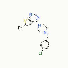 CCc1cc2c(N3CCN(Cc4ccc(Cl)cc4)CC3)ncnc2s1